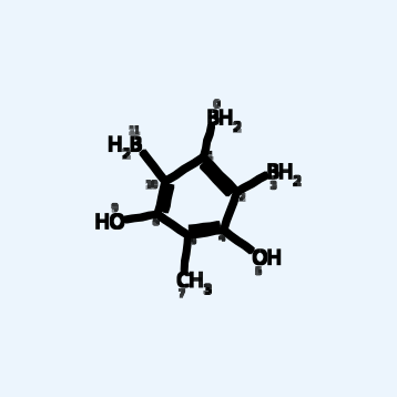 Bc1c(B)c(O)c(C)c(O)c1B